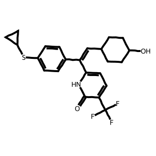 O=c1[nH]c(/C(=C\C2CCC(O)CC2)c2ccc(SC3CC3)cc2)ccc1C(F)(F)F